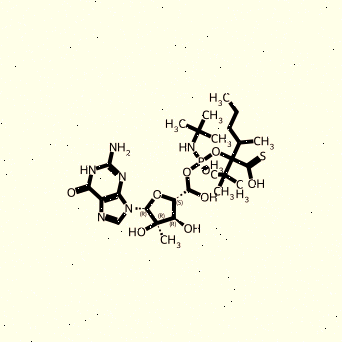 CCCC(C)C(OP(=O)(NC(C)(C)C)OC(O)[C@H]1O[C@@H](n2cnc3c(=O)[nH]c(N)nc32)[C@](C)(O)[C@@H]1O)(C(O)=S)C(C)(C)C